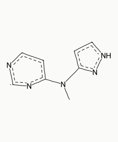 CN(c1ccn[c]n1)c1cc[nH]n1